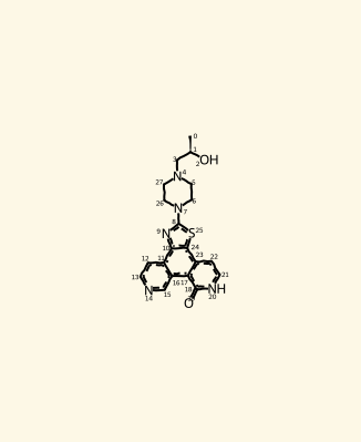 C[C@@H](O)CN1CCN(c2nc3c4ccncc4c4c(=O)[nH]ccc4c3s2)CC1